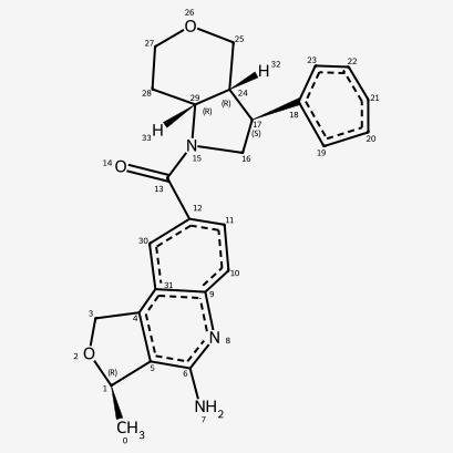 C[C@H]1OCc2c1c(N)nc1ccc(C(=O)N3C[C@H](c4ccccc4)[C@H]4COCC[C@H]43)cc21